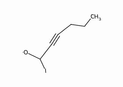 CCCC#CC([O])I